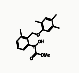 COC(=O)N(O)c1cccc(C)c1COc1cc(C)c(C)cc1C